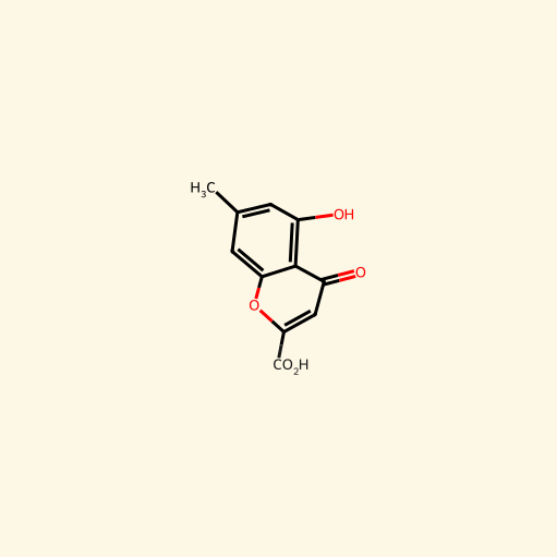 Cc1cc(O)c2c(=O)cc(C(=O)O)oc2c1